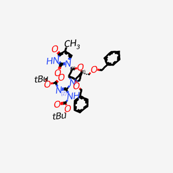 Cc1cn([C@@H]2O[C@@]3(COCc4ccccc4)CN(/C(=N\C(=O)OC(C)(C)C)NC(=O)OC(C)(C)C)C2C3OCc2ccccc2)c(=O)[nH]c1=O